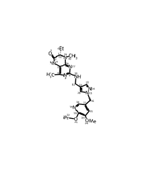 CC[C@H]1C(=O)Nc2c(C)nc(NCc3cnn(Cc4cnc(OC(C)C)c(OC)c4)c3)nc2N1C